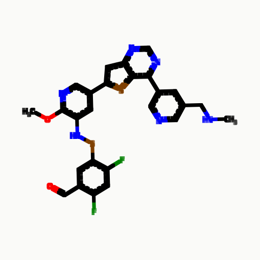 CNCc1cncc(-c2ncnc3cc(-c4cnc(OC)c(NSc5cc(C=O)c(F)cc5F)c4)sc23)c1